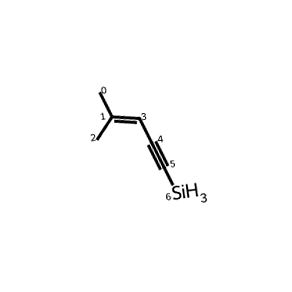 CC(C)=CC#C[SiH3]